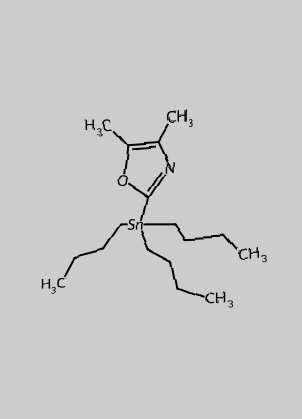 CCC[CH2][Sn]([CH2]CCC)([CH2]CCC)[c]1nc(C)c(C)o1